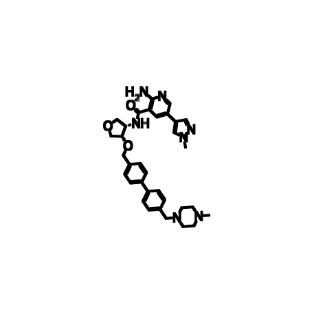 CN1CCN(Cc2ccc(-c3ccc(CO[C@H]4COC[C@@H]4NC(=O)c4cc(-c5cnn(C)c5)cnc4N)cc3)cc2)CC1